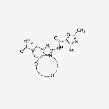 CCc1nc(C)oc1C(=O)Nc1nc2cc(C(N)=O)cc3c2n1CCCOCCCO3